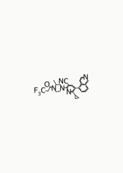 CC1CN(c2nc(C3CC3)c(-c3cccc4cnccc34)cc2C#N)CCN1C(=O)CC(F)(F)F